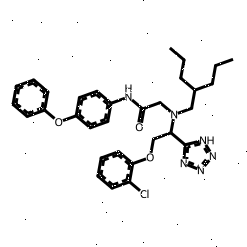 CCCC(CCC)CN(CC(=O)Nc1ccc(Oc2ccccc2)cc1)C(COc1ccccc1Cl)c1nnn[nH]1